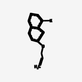 C=CCOc1ccc2ccc[c]([K])c2c1